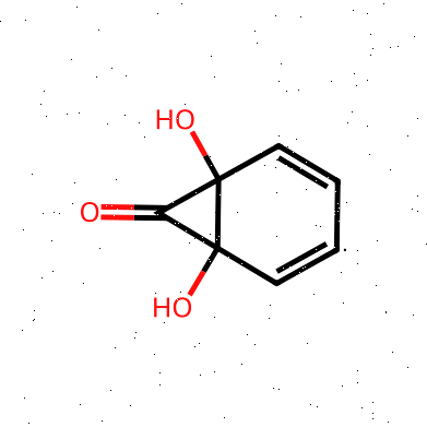 O=C1C2(O)C=[C]C=CC12O